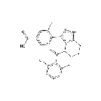 Cc1ccnc(Cl)c1C(=O)C1CCCc2[nH]nc(-c3ccc(C(=O)O)cc3F)c21